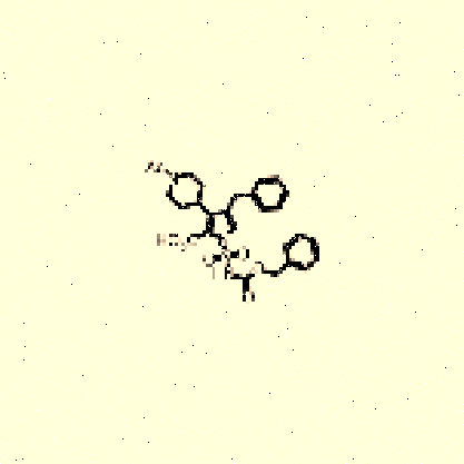 CC(=O)N1CCC(c2c(Cc3ccccc3)cn(S(=O)(=O)NC(=O)OCc3ccccc3)c2C(=O)O)CC1